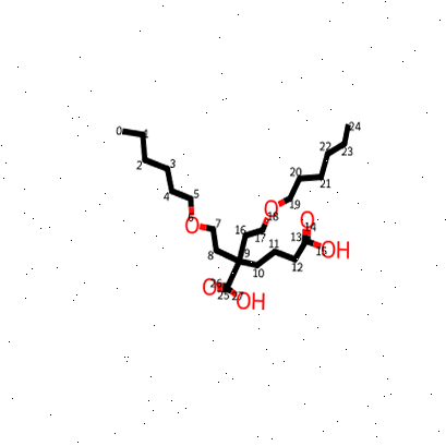 CCCCCCOCCC(CCCC(=O)O)(CCOCCCCCC)C(=O)O